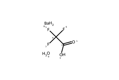 O.O=C(O)C(F)(F)F.[BaH2]